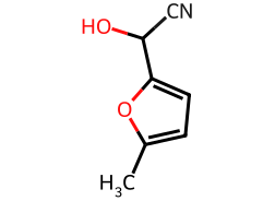 Cc1ccc(C(O)C#N)o1